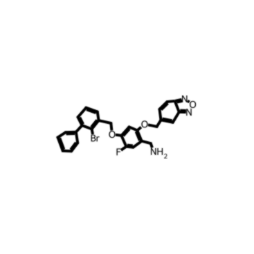 NCc1cc(F)c(OCc2cccc(-c3ccccc3)c2Br)cc1OCc1ccc2nonc2c1